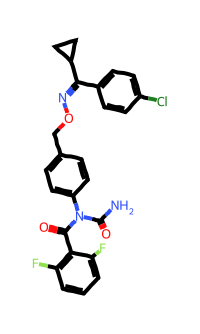 NC(=O)N(C(=O)c1c(F)cccc1F)c1ccc(CON=C(c2ccc(Cl)cc2)C2CC2)cc1